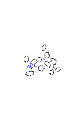 c1ccc(-c2cccc(N(c3ccc4cc(-c5ccccc5)n5nc(-c6ccccc6)c(-c6ccccc6)c5c4c3)c3cccc4c3-c3ccccc3C4(c3ccccc3)c3ccccc3)c2)cc1